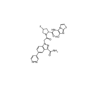 NC(=O)c1nn(CC(=O)N2CC(F)CC2C(=O)Nc2c(O)nc3sccn23)c2ccc(-c3ccnnc3)cc12